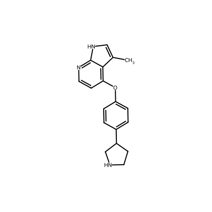 Cc1c[nH]c2nccc(Oc3ccc(C4CCNC4)cc3)c12